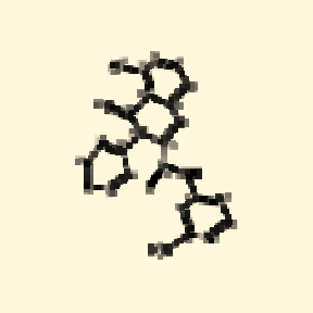 C[C@H](Nc1cc(N)ncn1)c1nc2cccc(Cl)c2c(=O)n1-c1ccccc1